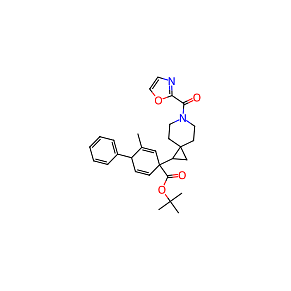 CC1=CC(C(=O)OC(C)(C)C)(C2CC23CCN(C(=O)c2ncco2)CC3)C=CC1c1ccccc1